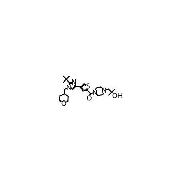 CC(C)(O)CN1CCN(C(=O)c2cc(-c3cn(CC4CCOCC4)c(C(C)(C)C)n3)cs2)CC1